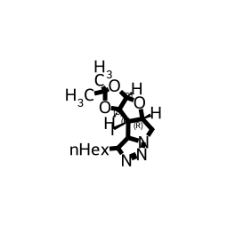 CCCCCCC1N=NN2C[C@H]3O[C@@H]4OC(C)(C)O[C@@H]4[C@@]3(I)C12